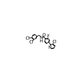 O=C(NCc1ccc(Cl)c(Cl)c1)c1ccc(-c2ncccc2Cl)cc1F